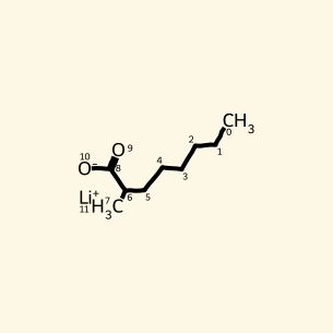 CCCCCCC(C)C(=O)[O-].[Li+]